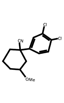 COC1CCCC(C#N)(c2ccc(Cl)c(Cl)c2)C1